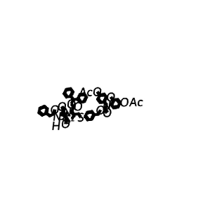 CC(=O)Oc1ccc2c(c1)Oc1cc(OC(C)=O)ccc1N2C(=O)OCc1ccc(SCC2=C(C(=O)OC(c3ccccc3)c3ccccc3)N3C(=O)[C@@H](NC(=O)Cc4ccccc4)[C@H]3[S+]([O-])C2)cc1